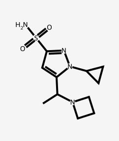 CC(c1cc(S(N)(=O)=O)nn1C1CC1)N1CCC1